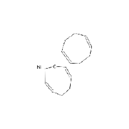 C1=CCCC=CCC1.C1=CCCC=CCC1.[Ni]